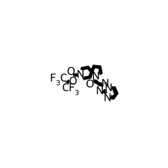 O=C(OC(C(F)(F)F)C(F)(F)F)N1CCC2(CCCN2C(=O)c2nc3ncccn3n2)CC1